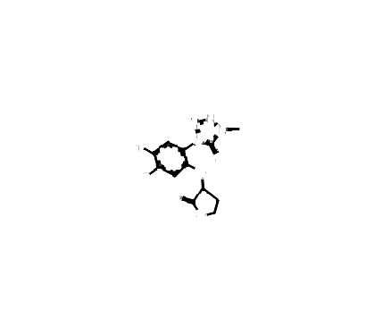 CC(C)c1cc(-n2nnn(C)c2=O)c(OC2CCOC2=O)cc1F